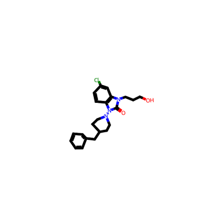 O=c1n(CCCO)c2cc(Cl)ccc2n1N1CCC(Cc2ccccc2)CC1